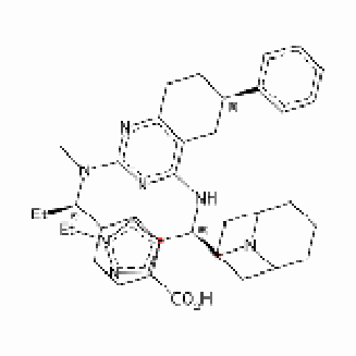 CC[C@H](C1CCC(C(=O)O)CC1)N(C)c1nc2c(c(N[C@@H](CN3C4CCCC3CCC4)c3cnn(CC)c3)n1)C[C@H](c1ccccc1)CC2